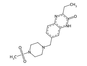 CCc1nc2ccc(CN3CCN(S(C)(=O)=O)CC3)cc2[nH]c1=O